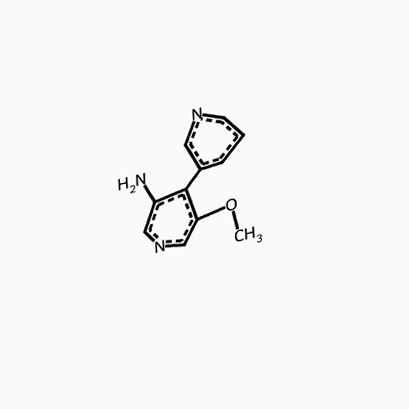 COc1cncc(N)c1-c1cccnc1